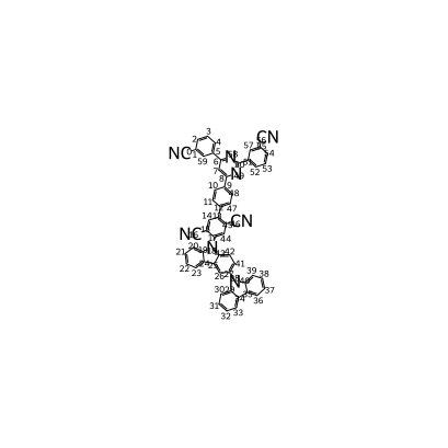 N#Cc1cccc(-c2cc(-c3ccc(-c4cc(C#N)c(-n5c6ccccc6c6cc(-n7c8ccccc8c8ccccc87)ccc65)cc4C#N)cc3)nc(-c3cccc(C#N)c3)n2)c1